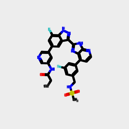 CC(C)(C)CC(=O)Nc1cncc(-c2cc(F)c3[nH]nc(-c4nc5c(-c6cc(F)cc(CNS(C)(=O)=O)c6)ccnc5[nH]4)c3c2)c1